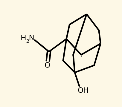 NC(=O)C12[CH]C3CC(CC(O)(C3)C1)C2